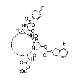 CC(C)(C)OC(=O)N[C@H]1CCCCC/C=C\[C@@H]2C[C@@]2(C(=O)NS(=O)(=O)c2ccc(F)cc2)NC(=O)[C@@H]2C[C@@H](OC(=O)N3Cc4cccc(F)c4C3)CN2C1=O